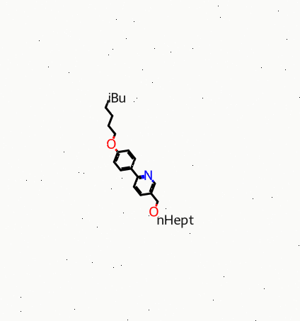 CCCCCCCOCc1ccc(-c2ccc(OCCCCC(C)CC)cc2)nc1